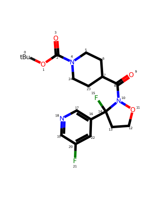 CC(C)(C)OC(=O)N1CCC(C(=O)N2OCCC2(F)c2cncc(F)c2)CC1